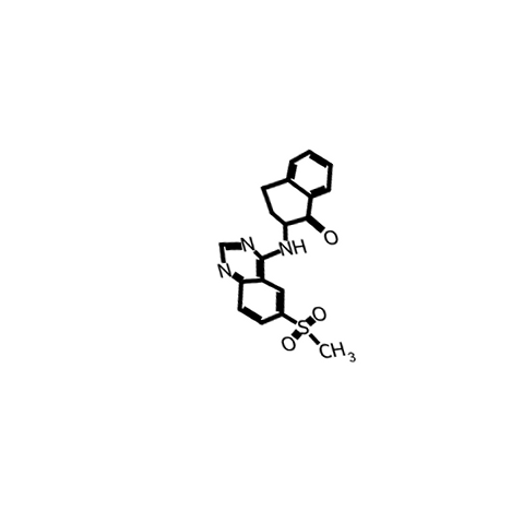 CS(=O)(=O)c1ccc2ncnc(NC3CCc4ccccc4C3=O)c2c1